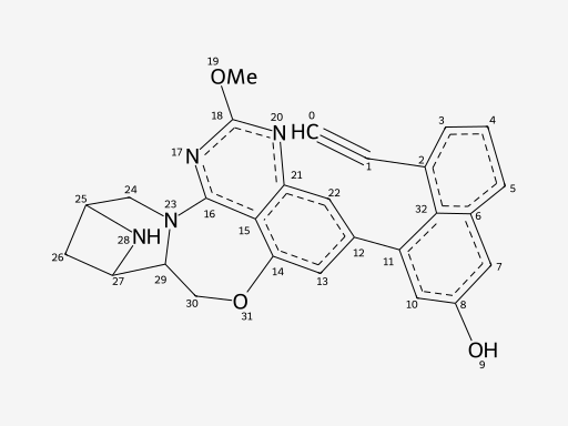 C#Cc1cccc2cc(O)cc(-c3cc4c5c(nc(OC)nc5c3)N3CC5CC(N5)C3CO4)c12